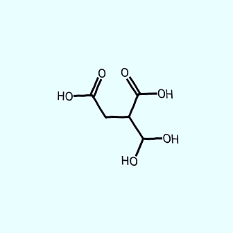 O=C(O)CC(C(=O)O)C(O)O